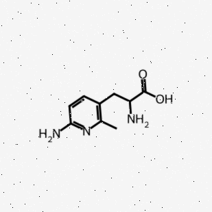 Cc1nc(N)ccc1CC(N)C(=O)O